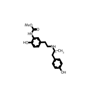 COC(=O)Nc1cc(CCN[C@H](C)Cc2ccc(O)cc2)ccc1O